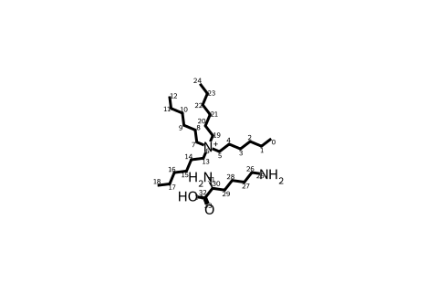 CCCCCC[N+](CCCCCC)(CCCCCC)CCCCCC.NCCCC[C@H](N)C(=O)O